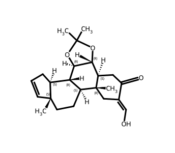 CC1(C)O[C@H]2[C@H](O1)[C@H]1CC(=O)C(=CO)C[C@]1(C)[C@H]1CC[C@]3(C)C=CC[C@H]3[C@H]21